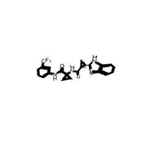 O=C(NC1(C(=O)Nc2cccc(C(F)(F)F)c2)CC1)C1C[C@@H]1c1nc2ccccc2[nH]1